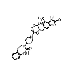 Cc1cc(CC(OC(=O)N2CCC(N3CCc4ccccc4NC3=O)CC2)C(=O)O)cc2oc(=O)[nH]c12